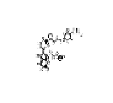 Bc1ccc(CCCC(=O)N2CCCC(c3cc4ccc(F)cc4n3CCCOC)C2)cc1